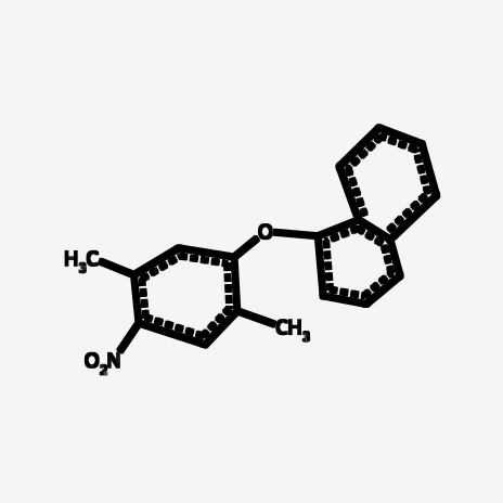 Cc1cc([N+](=O)[O-])c(C)cc1Oc1cccc2ccccc12